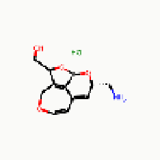 Cl.NC[C@@H]1C=C2C=COCC3=C2B(OC3CO)O1